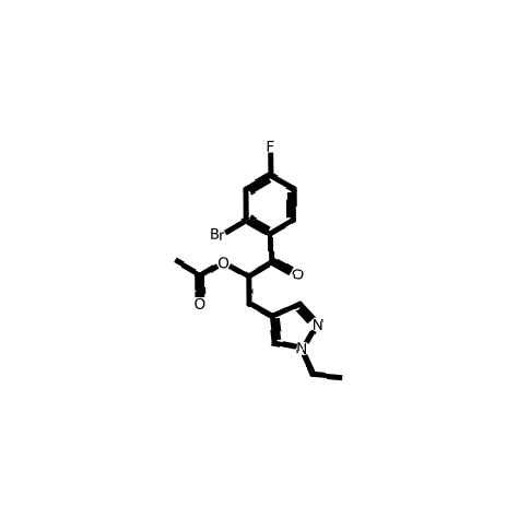 CCn1cc(CC(OC(C)=O)C(=O)c2ccc(F)cc2Br)cn1